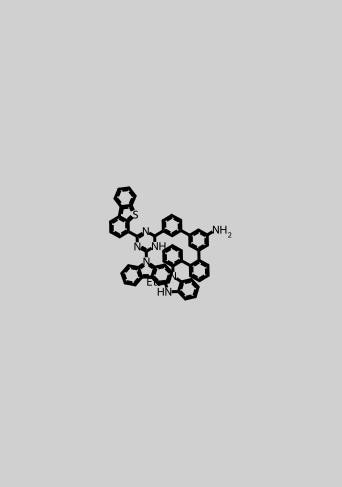 CCC1Nc2ccccc2N1c1ccccc1-c1ccccc1-c1cc(N)cc(-c2cccc(C3N=C(c4cccc5c4sc4ccccc45)N=C(n4c5ccccc5c5ccccc54)N3)c2)c1